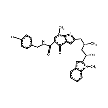 CN(Cc1cc2c(=O)c(C(=O)NCc3ccc(Cl)cc3)cn(C)c2s1)CC(O)c1cc2ccccc2n1C